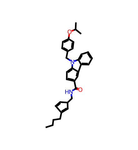 CCCCC1=CC(CNC(=O)c2ccc3c(c2)c2ccccc2n3Cc2ccc(OC(C)C)cc2)C=C1